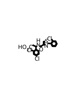 O=C(O)CC(NC(=O)c1csc(-c2ccccc2Cl)n1)c1ccc(Cl)cc1Cl